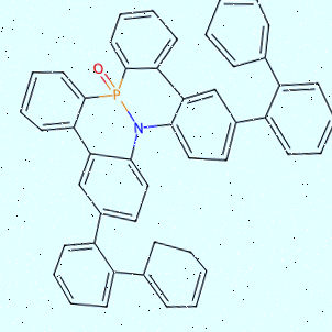 O=P12c3ccccc3-c3cc(-c4ccccc4C4=CC=CCC4)ccc3N1c1ccc(-c3ccccc3-c3ccccc3)cc1-c1ccccc12